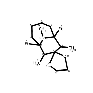 CCC12CCCCC(CC)(C(C)C3(OCCO3)C1C)P2C